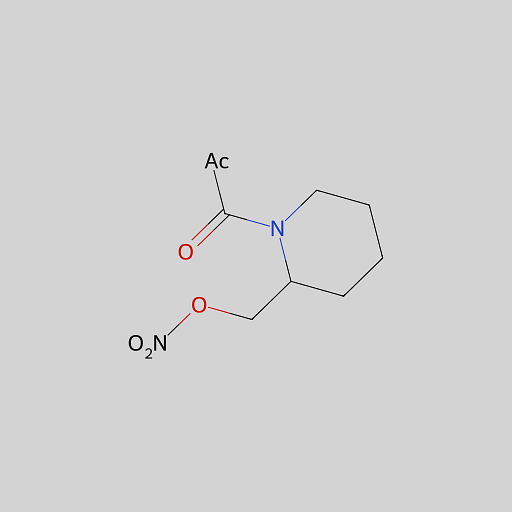 CC(=O)C(=O)N1CCCCC1CO[N+](=O)[O-]